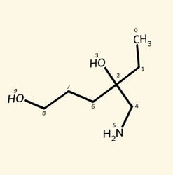 CCC(O)(CN)CCCO